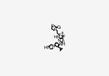 O=C1COCCCN1CCCNc1nc(Nc2ccc(N3CCNCC3)cc2C2CC2)ncc1C(F)(F)F